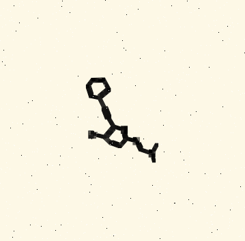 CN(C)/C=N/c1ccc(Br)c(C#Cc2ccccc2)n1